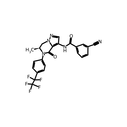 C[C@H]1Cn2ncc(NC(=O)c3cccc(C#N)c3)c2C(=O)N1c1ccc(C(F)(F)C(F)(F)F)cc1